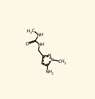 CNC(=O)NCc1cc(N)n(C)n1